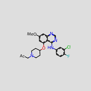 COc1cc(OC2CCN(CC(C)=O)CC2)c2c(Nc3ccc(F)c(Cl)c3)ncnc2c1